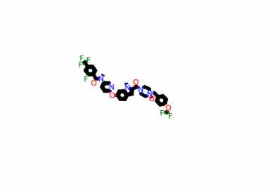 CN(C(=O)c1ccc(C(F)(F)F)cc1F)c1ccc(Oc2ccc3cc(C(=O)N4CC[N+]([O-])(Cc5ccc(OC(F)F)cc5)CC4)n(C)c3c2)nc1